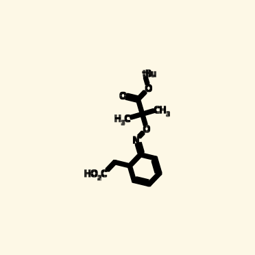 CC(C)(C)OC(=O)C(C)(C)ON=C1C=CC=CC1CC(=O)O